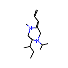 C=C/C=C1/CN(C(C)C)C(C(C)CC)CN1C